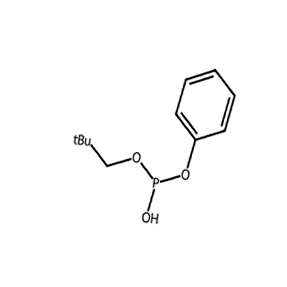 CC(C)(C)COP(O)Oc1ccccc1